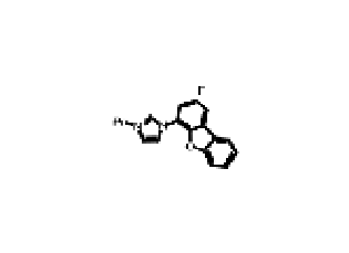 CC(C)[n+]1ccn(-c2cccc3c2oc2ccccc23)c1.[I-]